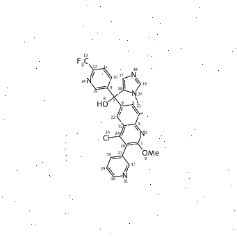 COc1nc2ccc(C(O)(c3ccc(C(F)(F)F)nc3)c3cncn3C)cc2c(Cl)c1-c1cccnc1